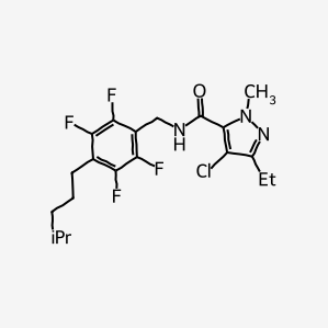 CCc1nn(C)c(C(=O)NCc2c(F)c(F)c(CCCC(C)C)c(F)c2F)c1Cl